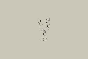 c1cc(-c2ccc3ccccc3c2)cc(N(c2ccc(-c3cccc4ccccc34)cc2)c2ccc3ccc4c5cnccc5oc4c3c2)c1